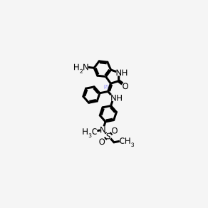 CCS(=O)(=O)N(C)c1ccc(N/C(=C2\C(=O)Nc3ccc(N)cc32)c2ccccc2)cc1